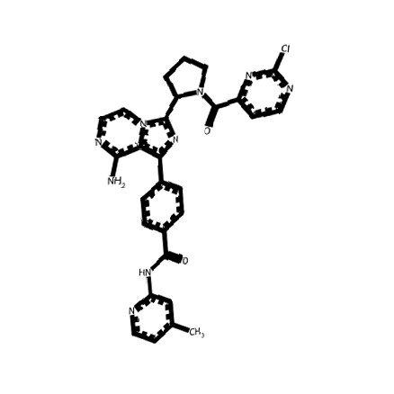 Cc1ccnc(NC(=O)c2ccc(-c3nc(C4CCCN4C(=O)c4ccnc(Cl)n4)n4ccnc(N)c34)cc2)c1